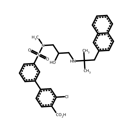 CN(CC(O)CNC(C)(C)Cc1ccc2ccccc2c1)S(=O)(=O)c1cccc(-c2ccc(C(=O)O)c(Cl)c2)c1